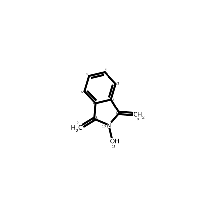 C=c1c2ccccc2c(=C)n1O